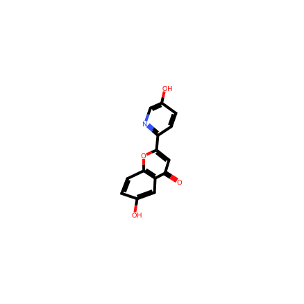 O=c1cc(-c2ccc(O)cn2)oc2ccc(O)cc12